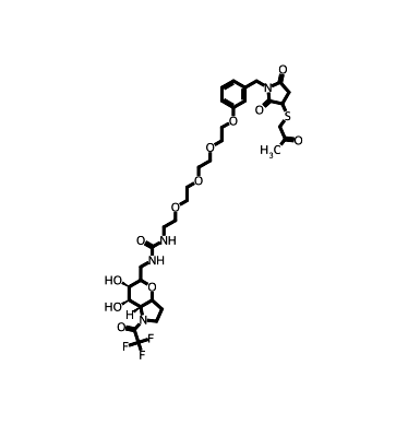 CC(=O)CSC1CC(=O)N(Cc2cccc(OCCOCCOCCOCCNC(=O)NCC3OC4CCN(C(=O)C(F)(F)F)[C@@H]4[C@@H](O)[C@H]3O)c2)C1=O